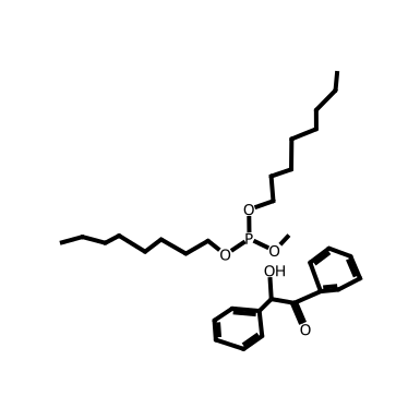 CCCCCCCCOP(OC)OCCCCCCCC.O=C(c1ccccc1)C(O)c1ccccc1